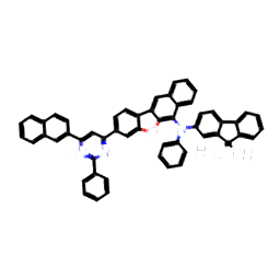 CC1(C)c2ccccc2-c2ccc(N(c3ccccc3)c3c4ccccc4cc4c3oc3cc(-c5cc(-c6ccc7ccccc7c6)nc(-c6ccccc6)n5)ccc34)cc21